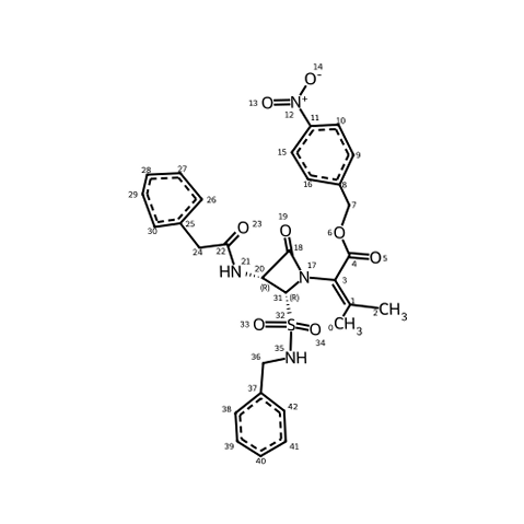 CC(C)=C(C(=O)OCc1ccc([N+](=O)[O-])cc1)N1C(=O)[C@@H](NC(=O)Cc2ccccc2)[C@H]1S(=O)(=O)NCc1ccccc1